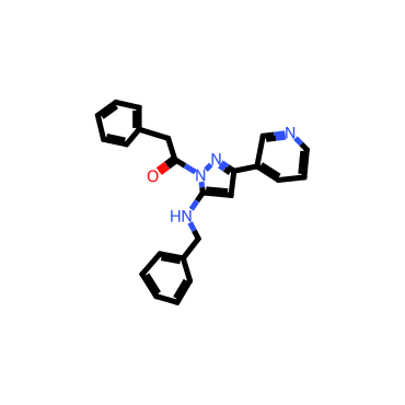 O=C(Cc1ccccc1)n1nc(-c2cccnc2)cc1NCc1ccccc1